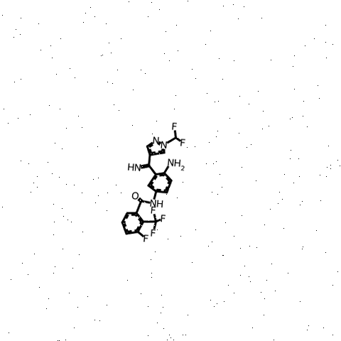 N=C(c1cnn(C(F)F)c1)c1cc(NC(=O)c2cccc(F)c2C(F)(F)F)ccc1N